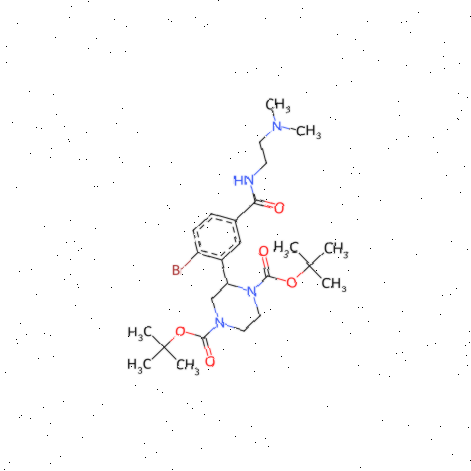 CN(C)CCNC(=O)c1ccc(Br)c(C2CN(C(=O)OC(C)(C)C)CCN2C(=O)OC(C)(C)C)c1